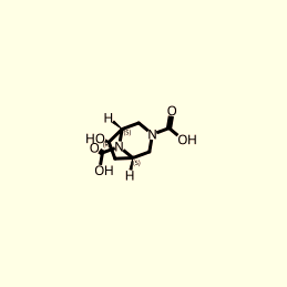 O=C(O)N1C[C@@H]2C[C@@H](O)[C@H](C1)N2C(=O)O